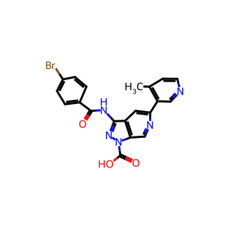 Cc1ccncc1-c1cc2c(NC(=O)c3ccc(Br)cc3)nn(C(=O)O)c2cn1